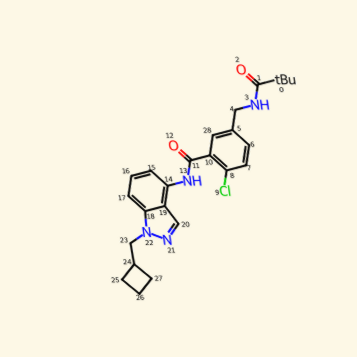 CC(C)(C)C(=O)NCc1ccc(Cl)c(C(=O)Nc2cccc3c2cnn3CC2CCC2)c1